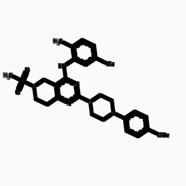 COc1ccc(N2CCN(c3nc4c(c(Nc5cc(C(C)(C)C)ccc5C)n3)CN(S(C)(=O)=O)CC4)CC2)cc1